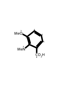 CNc1c(OC)cccc1C(=O)O